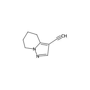 C#Cc1cnn2c1CCCC2